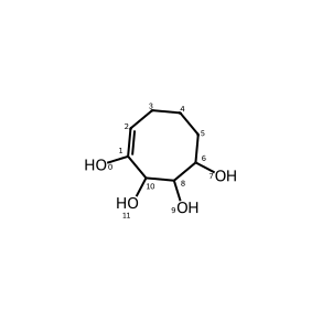 OC1=CCCCC(O)C(O)C1O